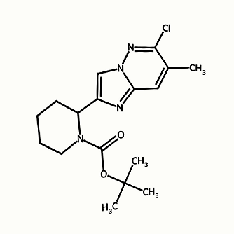 Cc1cc2nc(C3CCCCN3C(=O)OC(C)(C)C)cn2nc1Cl